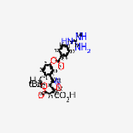 Cc1ccc(OC(=O)c2ccc(NC(=N)N)cc2)cc1C1=NOC(CC(=O)OC(C)(C)C)(C(=O)O)C1